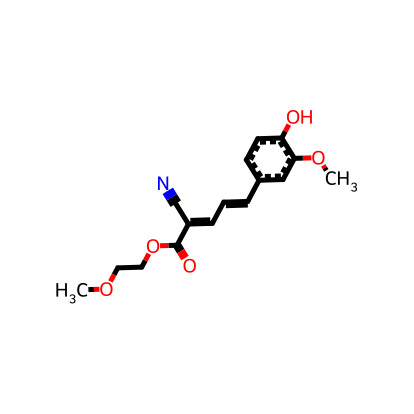 COCCOC(=O)/C(C#N)=C/C=C/c1ccc(O)c(OC)c1